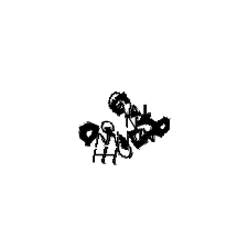 Cc1ccccc1NC(=O)NCC(=O)N1CCN(c2ccccc2-c2cnc(N3CCOCC3)nc2)CC1